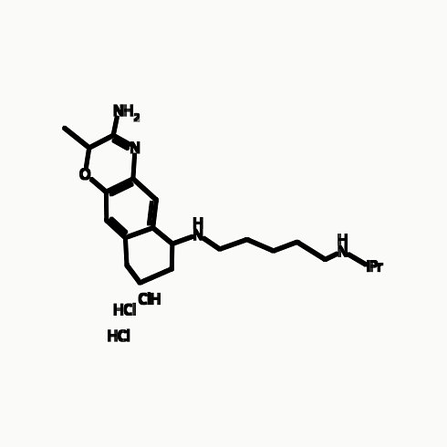 CC(C)NCCCCCNC1CCCc2cc3c(cc21)N=C(N)C(C)O3.Cl.Cl.Cl